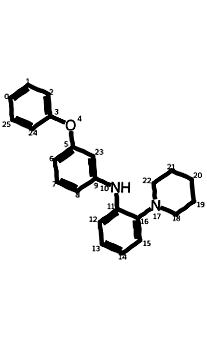 c1ccc(Oc2cccc(Nc3ccccc3N3CCCCC3)c2)cc1